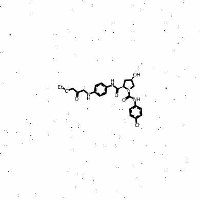 CCOCC(=O)CNc1ccc(NC(=O)[C@H]2C[C@@H](O)CN2C(=O)Nc2ccc(Cl)cc2)cc1